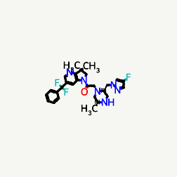 C[C@@H]1CN(CC(=O)N2CC(C)(C)c3ncc(C(F)(F)c4ccccc4)cc32)[C@@H](Cn2cc(F)cn2)CN1